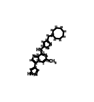 Cc1cn2c(-c3cn[nH]c3)cnc2c(Nc2cc(CN3CCCCCCC3)ns2)n1